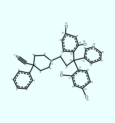 N#CC1(c2ccccc2)CCN(CCC(c2cccnc2)(c2ccc(Cl)cc2Cl)c2ccc(Cl)cc2Cl)CC1